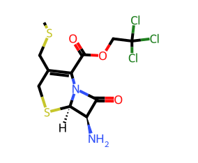 CSCC1=C(C(=O)OCC(Cl)(Cl)Cl)N2C(=O)[C@@H](N)[C@H]2SC1